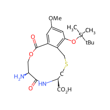 COc1cc(O[Si](C)(C)C(C)(C)C)c2c(c1)C(=O)OC[C@H](N)C(=O)N[C@H](C(=O)O)CSC2